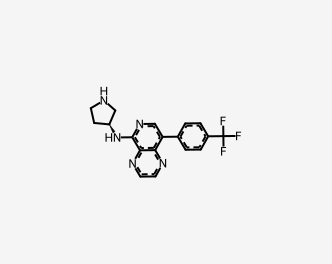 FC(F)(F)c1ccc(-c2cnc(N[C@H]3CCNC3)c3nccnc23)cc1